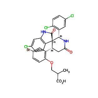 CC(COc1ccc(Br)cc1[C@H]1CC(=O)N[C@@H](c2cc(Cl)ccc2Cl)[C@]12C(=O)Nc1cc(Cl)ccc12)C(=O)O